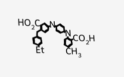 CCc1ccc(Cc2ccc(N=C3C=CC(=Nc4ccc(C)cc4C(=O)O)C=C3)cc2C(=O)O)cc1